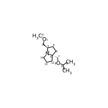 COC[C@H]1CC[C@@]2(COC(C)C)CCCN12